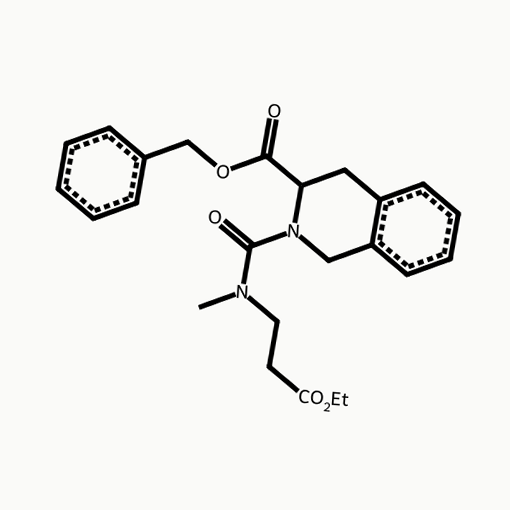 CCOC(=O)CCN(C)C(=O)N1Cc2ccccc2CC1C(=O)OCc1ccccc1